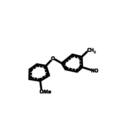 COc1cccc(Oc2ccc(N=O)c(C)c2)c1